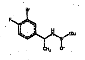 CC(N[S+]([O-])C(C)(C)C)c1ccc(F)c(Br)c1